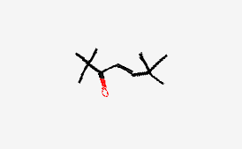 CC(C)(C)C=CC(=O)C(C)(C)C